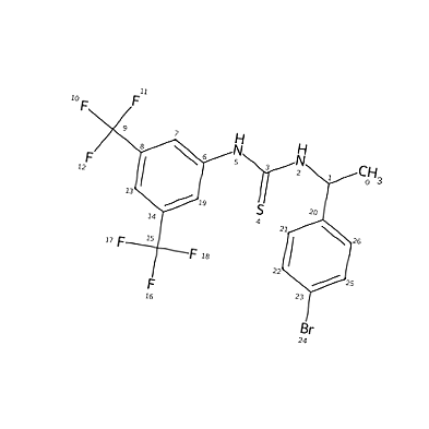 CC(NC(=S)Nc1cc(C(F)(F)F)cc(C(F)(F)F)c1)c1ccc(Br)cc1